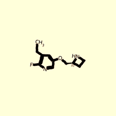 CCc1cc(OC[C@@H]2CCN2)cnc1F